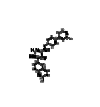 Cc1cc(-c2ccc(CN/C(N)=C(\F)C(=N)c3ccc4nc(C)ccc4c3)cc2)ccn1